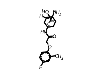 Cc1cc(F)ccc1OCC(=O)NC12CCC(N)(CC1)[C@@H](O)C2